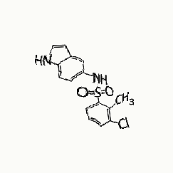 Cc1c(Cl)cccc1S(=O)(=O)Nc1ccc2[nH]ccc2c1